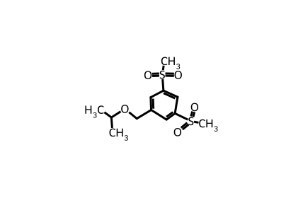 CC(C)OCc1cc(S(C)(=O)=O)cc(S(C)(=O)=O)c1